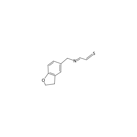 S=CC=NCc1ccc2c(c1)CCO2